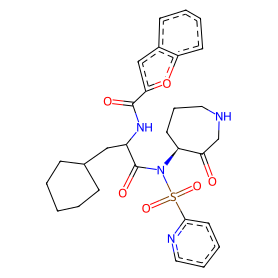 O=C(NC(CC1CCCCC1)C(=O)N([C@H]1CCCNCC1=O)S(=O)(=O)c1ccccn1)c1cc2ccccc2o1